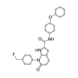 O=C(Nc1ccc(Oc2ccccc2)cc1)c1cc2ccc(=O)n(-c3ccc(CF)cc3)c2[nH]1